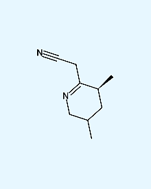 CC1CN=C(CC#N)[C@@H](C)C1